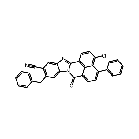 N#Cc1cc2nc3c4ccc(Cl)c5c(-c6ccccc6)ccc(c(=O)n3c2cc1Cc1ccccc1)c54